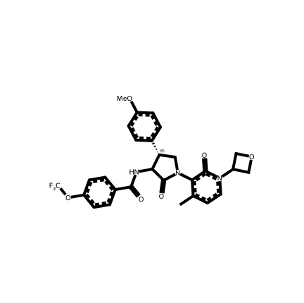 COc1ccc([C@@H]2CN(c3c(C)ccn(C4COC4)c3=O)C(=O)C2NC(=O)c2ccc(OC(F)(F)F)cc2)cc1